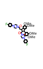 COc1ccc(C2c3cc(OC)c(OC)cc3C(CC(=O)N3CCN(c4ccc(F)cc4)CC3)C2C(=O)N2CCN(c3ccc(F)cc3)CC2)cc1OC